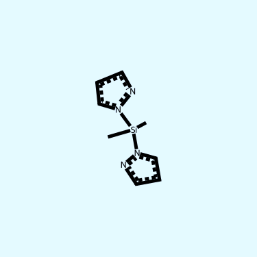 C[Si](C)(n1cccn1)n1cccn1